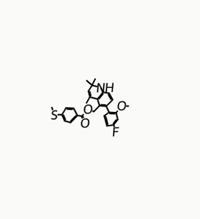 COc1cc(F)ccc1-c1ccc2c(c1COC(=O)c1ccc(SC)cc1)C(C)=CC(C)(C)N2